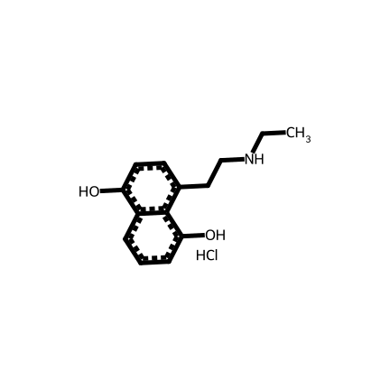 CCNCCc1ccc(O)c2cccc(O)c12.Cl